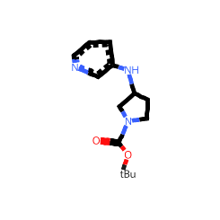 CC(C)(C)OC(=O)N1CCC(Nc2cccnc2)C1